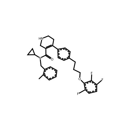 Cc1ccccc1CN(C(=O)C1=C(c2ccc(CCCOc3c(F)ccc(F)c3F)cc2)CCNC1)C1CC1